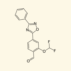 O=Cc1ccc(-c2nc(-c3ccccc3)no2)cc1OC(F)F